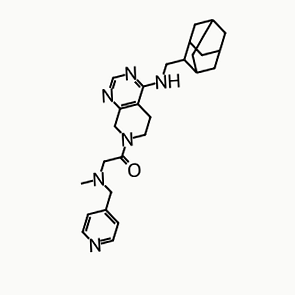 CN(CC(=O)N1CCc2c(ncnc2NCC2C3CC4CC(C3)CC2C4)C1)Cc1ccncc1